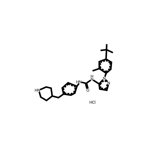 Cc1cc(C(C)(C)C)ccc1-n1nccc1NC(=O)Nc1ccc(CC2CCNCC2)cc1.Cl